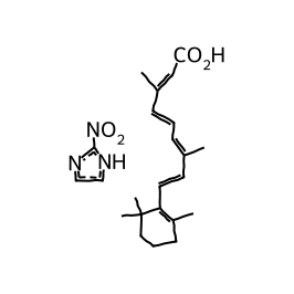 CC(C=CC1=C(C)CCCC1(C)C)=CC=CC(C)=CC(=O)O.O=[N+]([O-])c1ncc[nH]1